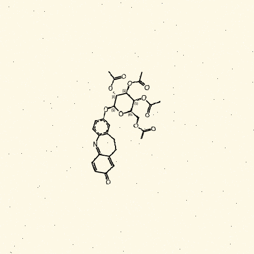 CC(=O)OC[C@H]1O[C@@H](Oc2ccc3c(c2)CCC2=CC(=O)C=CC2=N3)[C@H](OC(C)=O)[C@@H](OC(C)=O)[C@H]1OC(C)=O